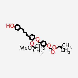 C=C(C)C(=O)OC.CC(C)=CCOC(=O)COc1ccc(COc2ccc(C=CC=Cc3ccc(O)cc3)cc2)cc1